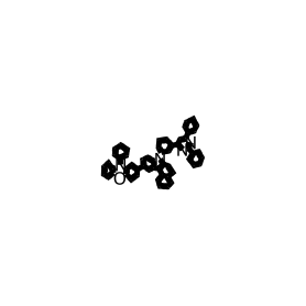 c1ccc(-c2cc(-c3cccc(-n4c5ccc(-c6ccc7c(c6)N(c6ccccc6)c6ccccc6O7)cc5c5c6ccccc6ccc54)c3)nc(-c3ccccc3)n2)cc1